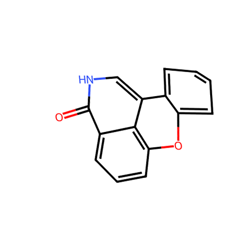 O=c1[nH]cc2c3c(cccc13)Oc1ccccc1-2